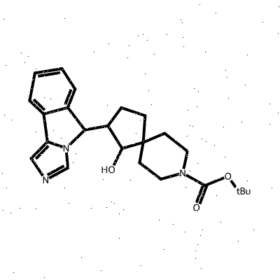 CC(C)(C)OC(=O)N1CCC2(CCC(C3c4ccccc4-c4cncn43)C2O)CC1